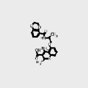 Cc1nc2cccc(OCC(C)NC(=O)c3cccc4c3OCCO4)c2c(N)c1C(=O)O